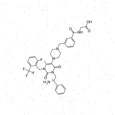 Cc1c(N2CCN(Cc3cccc(C(=O)NCC(=O)O)c3)CC2)c(=O)n(C[C@@H](N)c2ccccc2)c(=O)n1Cc1c(F)cccc1C(F)(F)F